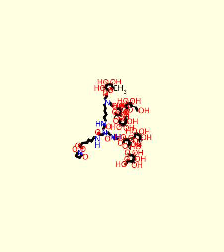 C[C@@H]1O[C@@H](OCCN(CCCCCCNC(=O)CN(CC(=O)NCCCCCC(=O)ON2C(=O)CCC2=O)CC(=O)NCCO[C@H]2O[C@H](CO[C@H]3O[C@H](CO)[C@@H](O)[C@H](O)[C@@H]3O)[C@@H](O)[C@H](O[C@H]3O[C@H](CO)[C@@H](O)[C@H](O)[C@@H]3O)[C@@H]2O)CCO[C@H]2O[C@H](CO[C@H]3O[C@H](CO)[C@@H](O)[C@H](O)[C@@H]3O)[C@@H](O)[C@H](O[C@H]3O[C@H](CCO)[C@@H](O)[C@H](O)[C@@H]3O)[C@@H]2O)[C@@H](O)[C@H](O)[C@@H]1O